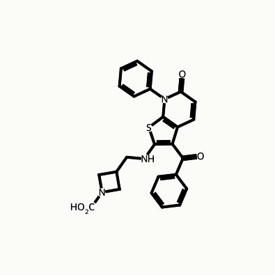 O=C(c1ccccc1)c1c(NCC2CN(C(=O)O)C2)sc2c1ccc(=O)n2-c1ccccc1